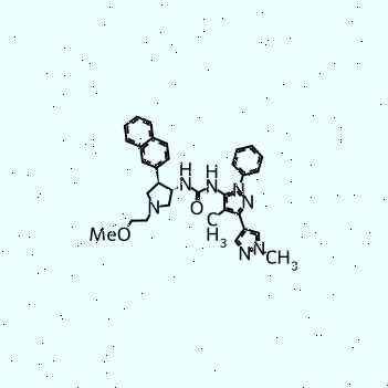 COCCN1C[C@@H](NC(=O)Nc2c(C)c(-c3cnn(C)c3)nn2-c2ccccc2)[C@H](c2ccc3ccccc3c2)C1